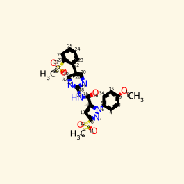 COc1ccc(-n2nc(S(C)(=O)=O)cc2C(=O)Nc2ncc(-c3ccccc3S(C)(=O)=O)cn2)cc1